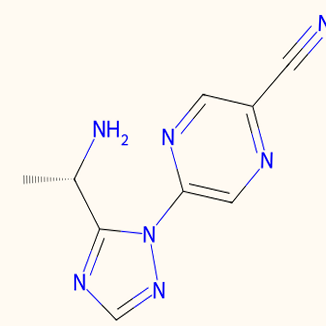 C[C@H](N)c1ncnn1-c1cnc(C#N)cn1